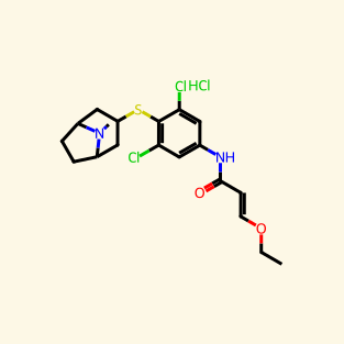 CCOC=CC(=O)Nc1cc(Cl)c(SC2CC3CCC(C2)N3C)c(Cl)c1.Cl